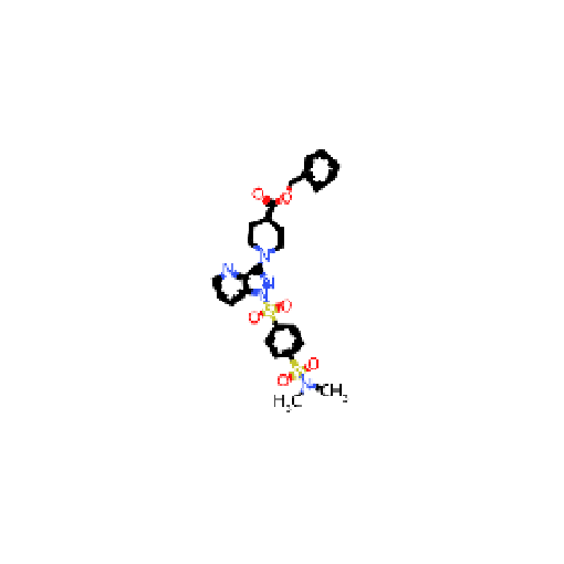 CN(C)S(=O)(=O)c1ccc(S(=O)(=O)n2nc(N3CCC(C(=O)OCc4ccccc4)CC3)c3ncccc32)cc1